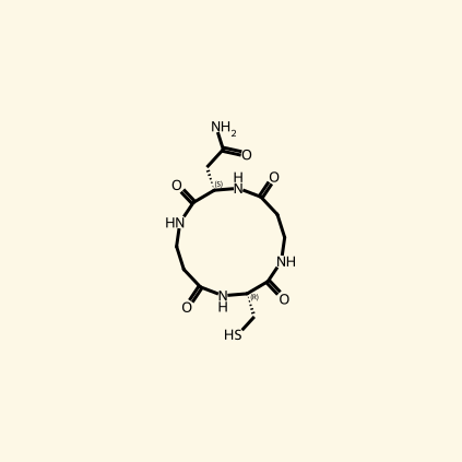 NC(=O)C[C@@H]1NC(=O)CCNC(=O)[C@H](CS)NC(=O)CCNC1=O